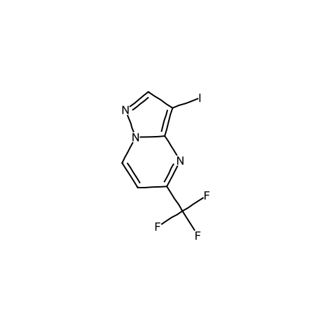 FC(F)(F)c1ccn2ncc(I)c2n1